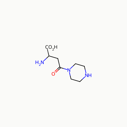 NC(CC(=O)N1CCNCC1)C(=O)O